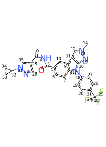 CC(NC(=O)c1ccc2c(c1)c1cn(C)nc1n2-c1ccc(C(F)(F)F)cc1)c1cnn(C2CC2)c1